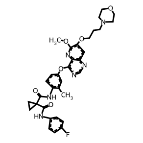 COc1nc2c(Oc3ccc(NC(=O)C4(C(=O)Nc5ccc(F)cc5)CC4)c(C)c3)ncnc2cc1OCCCN1CCOCC1